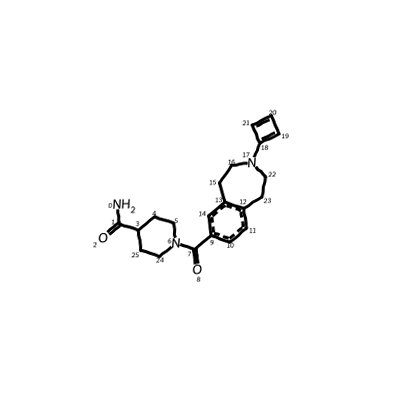 NC(=O)C1CCN(C(=O)c2ccc3c(c2)CCN(C2=CC=C2)CC3)CC1